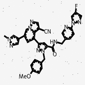 COc1ccc(Cn2nc(-c3cc(-c4cnn(C)c4)cn4ncc(C#N)c34)cc2C(=O)NCc2ccc(-n3cc(F)cn3)nc2)cc1